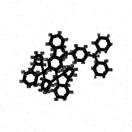 c1ccc(N(c2ccccc2)c2ccc(-n3c4ccccc4c4cc5c(cc43)C3(c4ccccc4-c4ccccc43)c3ccccc3C53c4ccccc4-c4ccccc43)cc2)cc1